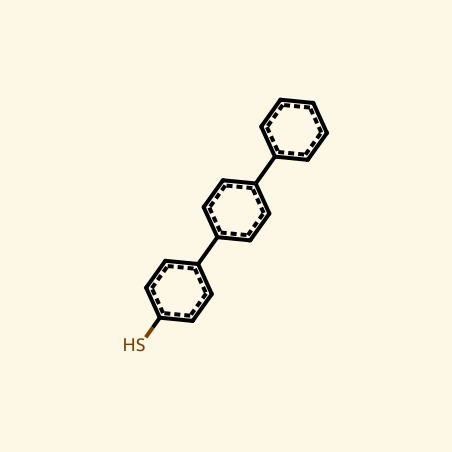 Sc1ccc(-c2ccc(-c3ccccc3)cc2)cc1